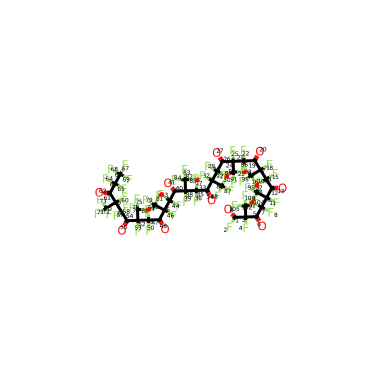 O=C(F)C(F)(C(=O)C(F)(F)C(F)(C(=O)C(F)(F)C(F)(C(=O)C(F)(F)C(F)(C(=O)C(F)(F)C(F)(C(=O)C(F)(F)C(F)(C(=O)C(F)(F)C(F)(C(=O)C(F)(F)C(F)(C(=O)C(F)(F)C(F)(C(=O)C(F)(F)C(F)(F)F)C(F)(F)F)C(F)(F)F)C(F)(F)F)C(F)(F)F)C(F)(F)F)C(F)(F)F)C(F)(F)F)C(F)(F)F)C(F)(F)F